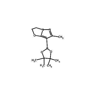 Cc1nn2c(c1B1OC(C)(C)C(C)(C)O1)OCC2